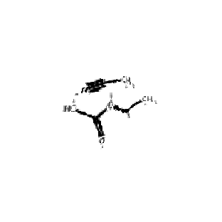 CC#N.CCOC(=O)O